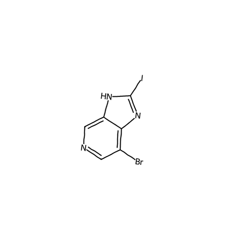 Brc1cncc2[nH]c(I)nc12